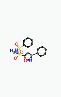 CCC(C)[S+]([O-])c1onc(-c2ccccc2)c1-c1ccccc1S(N)(=O)=O